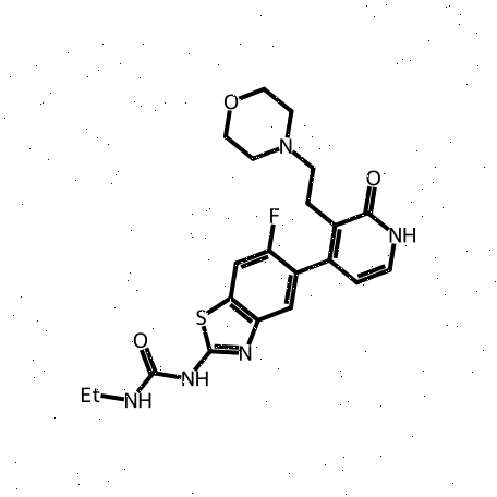 CCNC(=O)Nc1nc2cc(-c3cc[nH]c(=O)c3CCN3CCOCC3)c(F)cc2s1